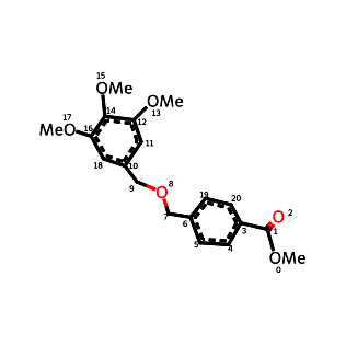 COC(=O)c1ccc(COCc2cc(OC)c(OC)c(OC)c2)cc1